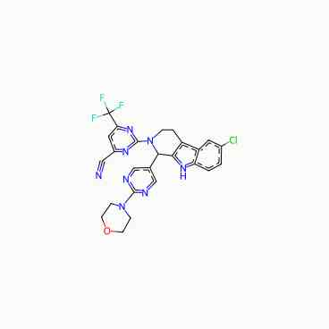 N#Cc1cc(C(F)(F)F)nc(N2CCc3c([nH]c4ccc(Cl)cc34)C2c2cnc(N3CCOCC3)nc2)n1